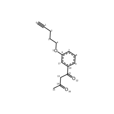 C#CCCCOc1cccc(C(=O)CC(C)=O)c1